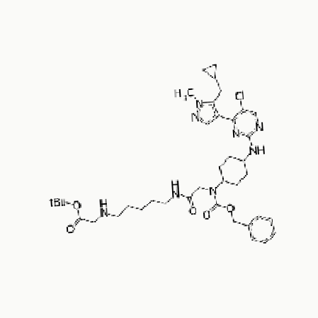 Cn1ncc(-c2nc(NC3CCC(N(CC(=O)NCCCCCNCC(=O)OC(C)(C)C)C(=O)OCc4ccccc4)CC3)ncc2Cl)c1CC1CC1